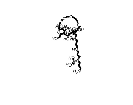 CC1(O)CCCCCCCCCC[C@H]2OC(CO)C([C@H](O)[C@H]2O)[C@@]2(O)OC(CNCCCNCCCN(CCCN)/[N+](O)=N/O)C1[C@H](O)[C@H]2O